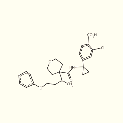 CN(CCOc1ccccc1)C1(C(=O)NC2(c3ccc(C(=O)O)c(Cl)c3)CC2)CCOCC1